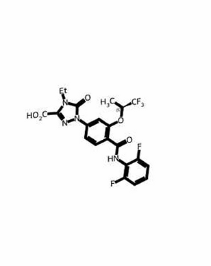 CCn1c(C(=O)O)nn(-c2ccc(C(=O)Nc3c(F)cccc3F)c(O[C@@H](C)C(F)(F)F)c2)c1=O